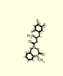 CN1C(=O)CN(C(=O)CC(N)Cc2cc(F)c(F)cc2F)Cc2ccccc21